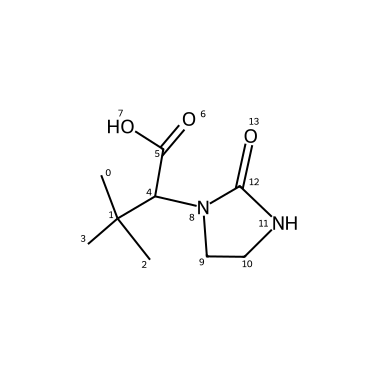 CC(C)(C)C(C(=O)O)N1CCNC1=O